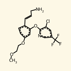 COCCOc1ccc(C=CCN)c(Oc2ncc(C(F)(F)F)cc2Cl)c1